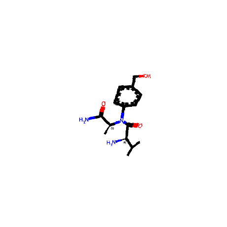 CC(C)[C@@H](N)C(=O)N(c1ccc(CO)cc1)[C@@H](C)C(N)=O